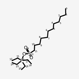 CCCCCCCCCCCCS(=O)(=O)OP(CC)(CC)(CC)CC